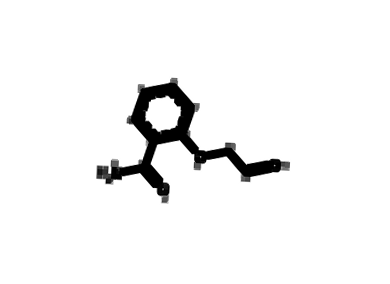 NC(=O)c1ccccc1OCC=O